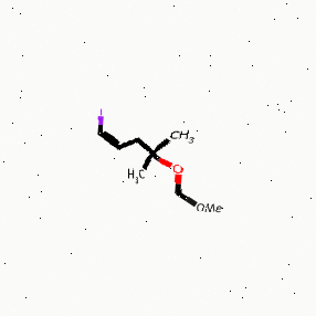 COCOC(C)(C)C/C=C\I